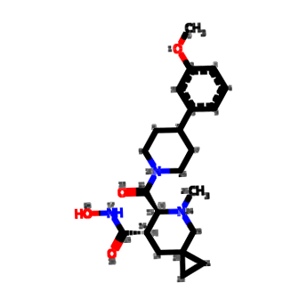 COc1cccc(C2CCN(C(=O)[C@@H]3[C@@H](C(=O)NO)CC4(CC4)CN3C)CC2)c1